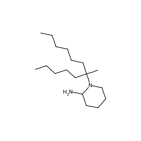 CCCCCCC(C)(CCCCC)N1CCCCC1N